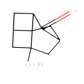 O=C1C2CC3(C(=O)O)CC4CC1C43C2